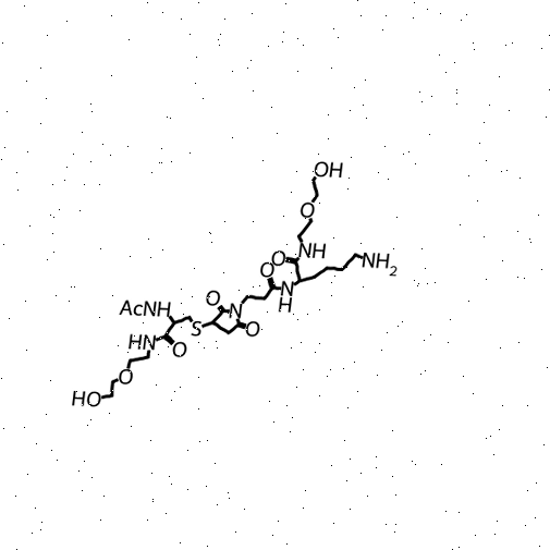 CC(=O)NC(CSC1CC(=O)N(CCC(=O)NC(CCCCN)C(=O)NCCOCCO)C1=O)C(=O)NCCOCCO